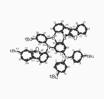 CC(C)(C)c1ccc(N(c2ccc(C(C)(C)C)cc2)c2cc3c4c(c2)-n2c5oc6ccccc6c5c5cccc(c52)B4c2ccc(C(C)(C)C)cc2N3c2cccc3c2oc2cc(C(C)(C)C)ccc23)cc1